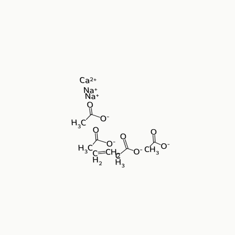 C=C.CC(=O)[O-].CC(=O)[O-].CC(=O)[O-].CC(=O)[O-].[Ca+2].[Na+].[Na+]